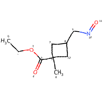 CCOC(=O)C1(C)CC(CN=O)C1